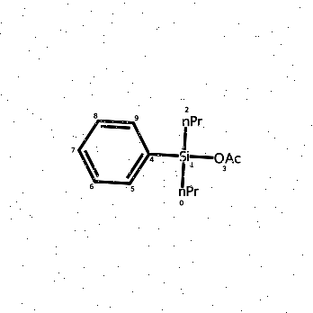 CCC[Si](CCC)(OC(C)=O)c1ccccc1